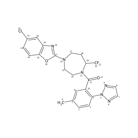 Cc1ccc(-n2nccn2)c(C(=O)N2CCN(c3nc4cc(Cl)ccc4o3)CCC2C(F)(F)F)c1